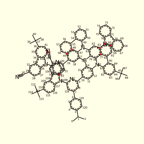 CC(C)c1ccc(-c2cc(-c3ccc4c(c3)B3c5cc(-c6cccc(-n7c8ccc(C#N)cc8c8cc(C(C)(C)C)ccc87)n6)ccc5N(c5ccccc5-c5ccccc5)c5cc(-n6c7ccccc7c7ccccc76)cc(c53)N4c3ccc(C(C)(C)C)cc3-c3ccccc3)nc(-n3c4ccc(C#N)cc4c4cc(C(C)(C)C)ccc43)c2)cc1